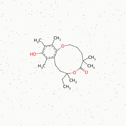 CCC1(C)CCc2c(C)c(O)c(C)c(C)c2OCCCC(C)(C)C(=O)O1